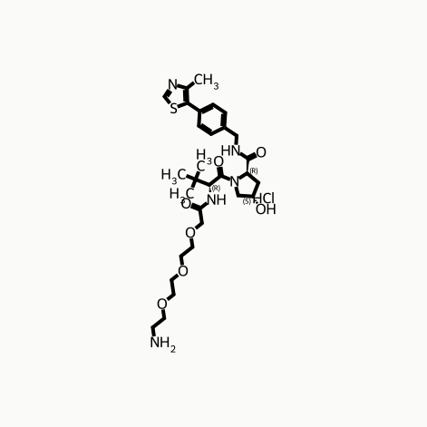 Cc1ncsc1-c1ccc(CNC(=O)[C@H]2C[C@H](O)CN2C(=O)[C@H](NC(=O)COCCOCCOCCN)C(C)(C)C)cc1.Cl